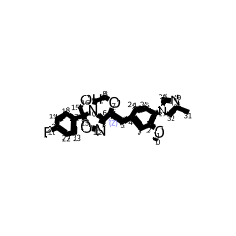 COc1cc(/C=C2\OCCN3C2=NOC3(CO)c2ccc(F)cc2)ccc1-n1cnc(C)c1